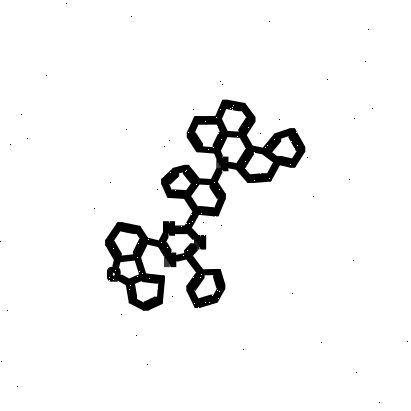 c1ccc(-c2nc(-c3ccc(N4c5ccc6ccccc6c5-c5cccc6cccc4c56)c4ccccc34)nc(-c3cccc4oc5ccccc5c34)n2)cc1